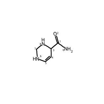 NC(=O)C1C=CNCN1